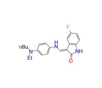 CCCCN(CC)c1ccc(N/C=C2/C(=O)Nc3ccc(F)cc32)cc1